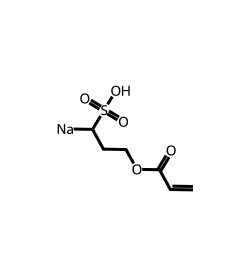 C=CC(=O)OCC[CH]([Na])S(=O)(=O)O